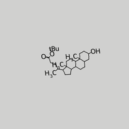 CC(CCC(=O)OC(C)(C)C)C1CCC2C3CCC4CC(O)CCC4(C)C3CCC12C